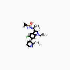 Cc1ncccc1-c1cc2c(cc1F)c(C(C)N[S+]([O-])C1CC1)cn2CC(C)(C)C